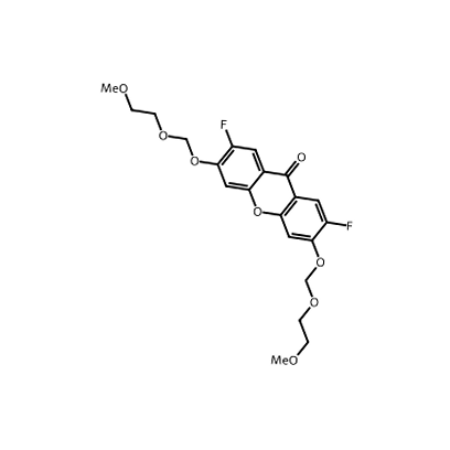 COCCOCOc1cc2oc3cc(OCOCCOC)c(F)cc3c(=O)c2cc1F